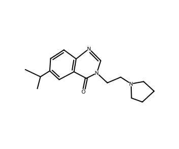 CC(C)c1ccc2ncn(CCN3CCCC3)c(=O)c2c1